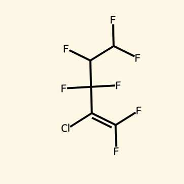 FC(F)=C(Cl)C(F)(F)C(F)C(F)F